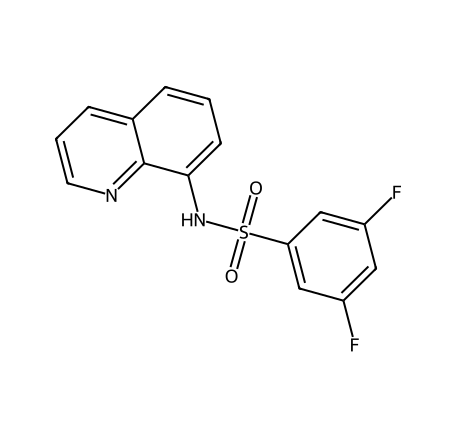 O=S(=O)(Nc1cccc2cccnc12)c1cc(F)cc(F)c1